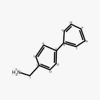 NCc1ccc(-c2c[c]ccc2)cc1